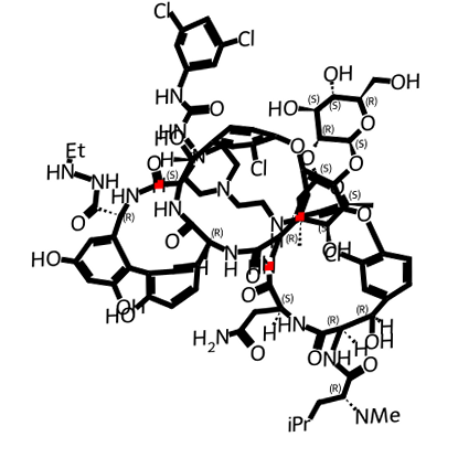 CCNNC(=O)[C@@H]1NC(=O)[C@H]2NC(=O)[C@H](NC(=O)[C@@H]3NC(=O)[C@H](CC(N)=O)NC(=O)[C@H](NC(=O)[C@@H](CC(C)C)NC)[C@H](O)c4ccc(c(Cl)c4)Oc4cc3cc(c4O[C@@H]3O[C@H](CO)[C@@H](O)[C@H](O)[C@H]3O[C@H]3C[C@](C)(NCCN4CCN(NC(=O)Nc5cc(Cl)cc(Cl)c5)CC4)[C@H](O)[C@H](C)O3)Oc3ccc(cc3Cl)[C@H]2O)c2ccc(O)c(c2)-c2c(O)cc(O)cc21